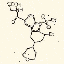 CCC1CC(C2CCOCC2)Cc2c1n(S(=O)(=O)CC)c1ccc(C(=O)NCC(=O)O)cc21